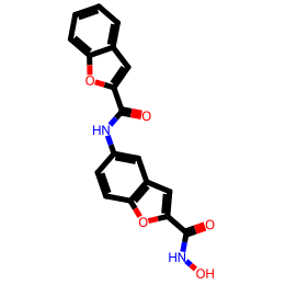 O=C(NO)c1cc2cc(NC(=O)c3cc4ccccc4o3)ccc2o1